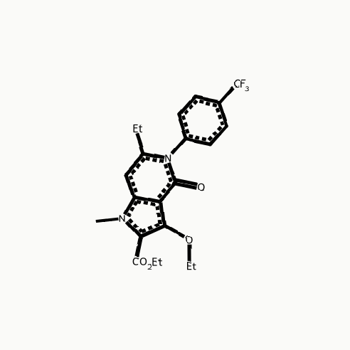 CCOC(=O)c1c(OCC)c2c(=O)n(-c3ccc(C(F)(F)F)cc3)c(CC)cc2n1C